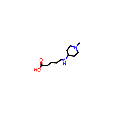 CN1CCC(NCCCCC(=O)O)CC1